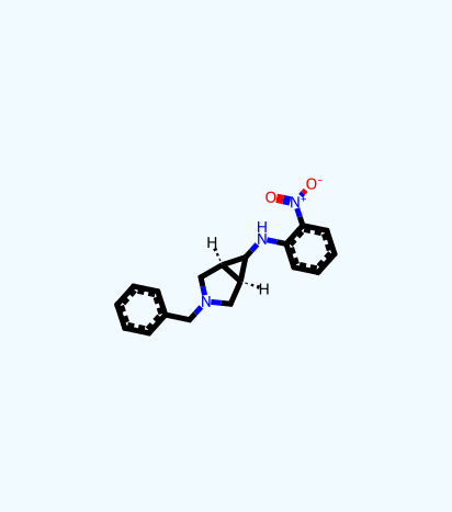 O=[N+]([O-])c1ccccc1NC1[C@H]2CN(Cc3ccccc3)C[C@@H]12